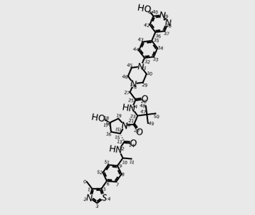 Cc1ncsc1-c1ccc(C(C)NC(=O)[C@@H]2C[C@@H](O)CN2C(=O)C(NC(=O)CN2CCN(c3ccc(-c4cnnc(O)c4)cc3)CC2)C(C)(C)C)cc1